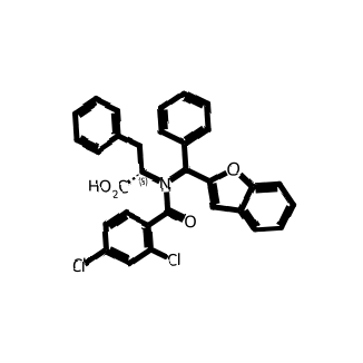 O=C(O)[C@H](Cc1ccccc1)N(C(=O)c1ccc(Cl)cc1Cl)C(c1ccccc1)c1cc2ccccc2o1